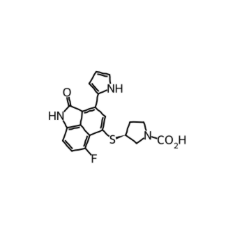 O=C1Nc2ccc(F)c3c(S[C@H]4CCN(C(=O)O)C4)cc(-c4ccc[nH]4)c1c23